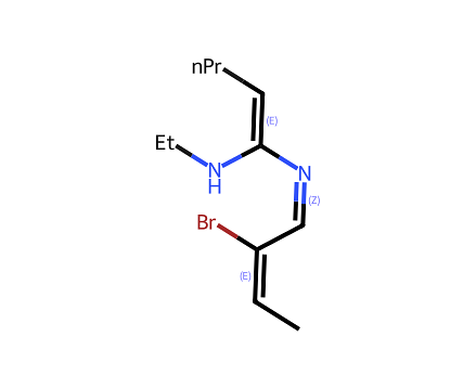 C\C=C(Br)/C=N\C(=C\CCC)NCC